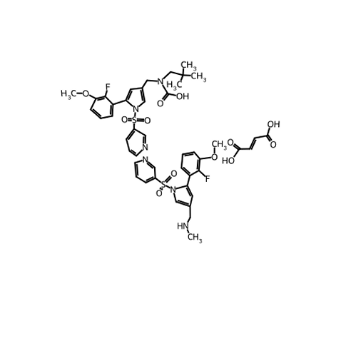 CNCc1cc(-c2cccc(OC)c2F)n(S(=O)(=O)c2cccnc2)c1.COc1cccc(-c2cc(CN(CC(C)(C)C)C(=O)O)cn2S(=O)(=O)c2cccnc2)c1F.O=C(O)C=CC(=O)O